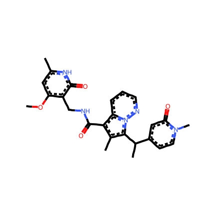 COc1cc(C)[nH]c(=O)c1CNC(=O)c1c(C)c(C(C)c2ccn(C)c(=O)c2)n2ncccc12